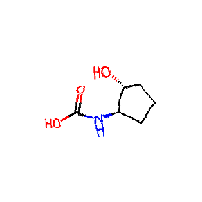 O=C(O)N[C@@H]1CCC[C@H]1O